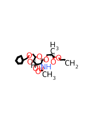 C=CCOC(=O)[C@@H](C)CO[C@@H]1OC2COC(c3ccccc3)O[C@H]2[C@H](O)C1NC(C)=O